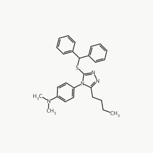 CCCCc1nnc(SC(c2ccccc2)c2ccccc2)n1-c1ccc(N(C)C)cc1